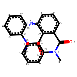 CN(C(=O)c1cccc(N)c1C(=O)N(C)c1ccccc1)c1ccccc1